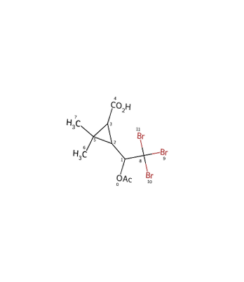 CC(=O)OC(C1C(C(=O)O)C1(C)C)C(Br)(Br)Br